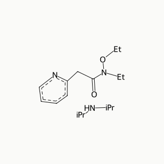 CC(C)NC(C)C.CCON(CC)C(=O)Cc1ccccn1